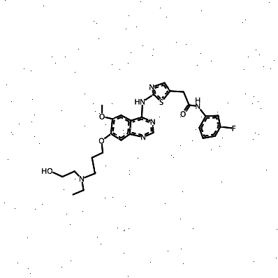 CCN(CCO)CCCOc1cc2ncnc(Nc3ncc(CC(=O)Nc4cccc(F)c4)s3)c2cc1OC